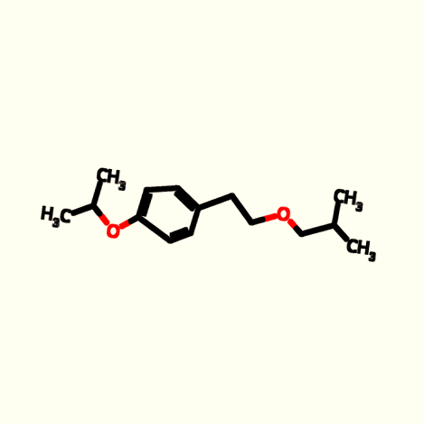 CC(C)COCCc1ccc(OC(C)C)cc1